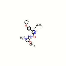 CCCCc1nnc(C(=O)NCC2CN(C)CCC2OC)cc1-c1ccc(OC2CCCCC2)cc1